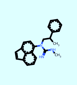 CNC(=N)N(CC(C)c1ccccc1)c1ccc2c3c(cccc13)C=C2